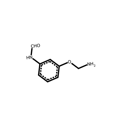 NCOc1cccc(NC=O)c1